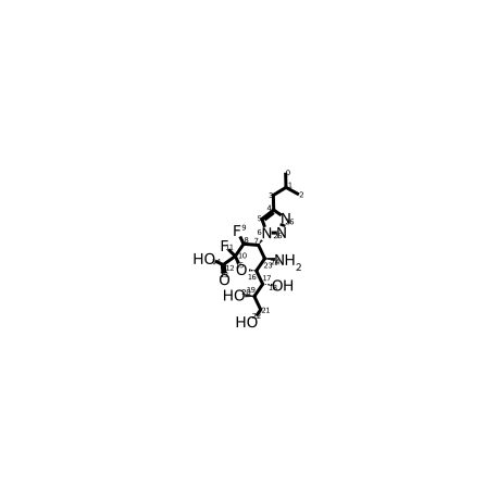 CC(C)Cc1cn([C@H]2C(F)C(F)(C(=O)O)O[C@@H]([C@H](O)[C@H](O)CO)[C@@H]2N)nn1